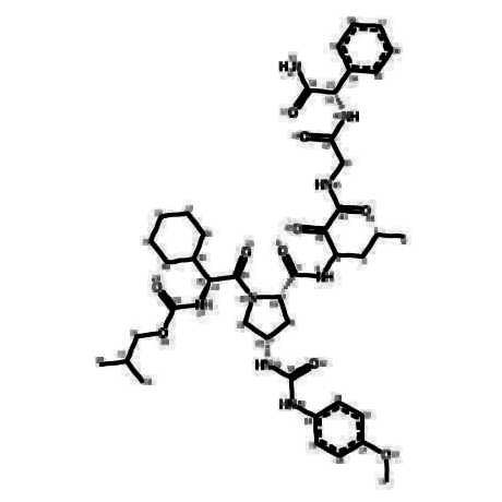 CCCC(NC(=O)[C@@H]1C[C@H](NC(=O)Nc2ccc(OC)cc2)CN1C(=O)[C@@H](NC(=O)OCC(C)C)C1CCCCC1)C(=O)C(=O)NCC(=O)N[C@H](C(N)=O)c1ccccc1